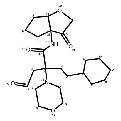 O=CCC(CCC1CCCCC1)(C(=O)NC12CCCC1OCC2=O)N1CCOCC1